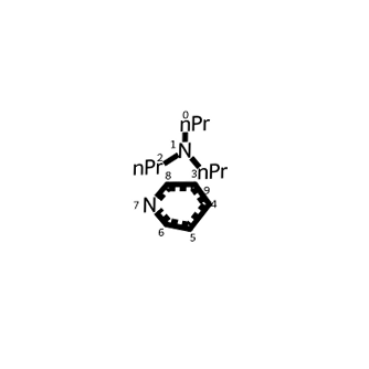 CCCN(CCC)CCC.c1ccncc1